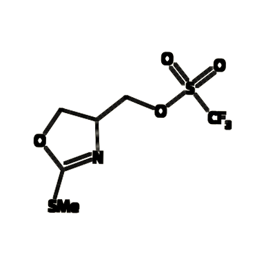 CSC1=NC(COS(=O)(=O)C(F)(F)F)CO1